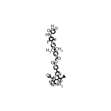 CC(C)(C1CCN(C(=O)COC(=O)N2CCC(c3cnc(-c4c(-c5nn(C6COC6)c6ncnc(N)c56)noc4C4CC4)nc3)CC2)CC1)N1CCN(c2c(F)cc(NC3CCC(=O)NC3=O)cc2F)CC1